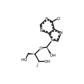 C[C@@H](O)[C@@H](CO)O[C@H](O)n1cnc2c(Cl)ncnc21